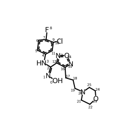 O/N=C(/Nc1ccc(F)c(Cl)c1)c1nonc1CCCN1CCOCC1